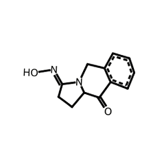 O=C1c2ccccc2CN2/C(=N/O)CCC12